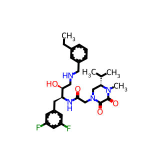 CCc1cccc(CNC[C@H](O)[C@H](Cc2cc(F)cc(F)c2)NC(=O)CN2C[C@H](C(C)C)N(C)C(=O)C2=O)c1